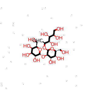 O=C[C@H](O[C@H]1O[C@H](CO)[C@H](O)[C@H](O)[C@H]1O[C@H]1O[C@H](CO)[C@H](O)[C@H](O)[C@H]1O)[C@@H](O)[C@H](O)[C@H](O)CO